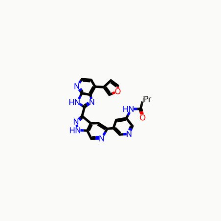 CC(C)C(=O)Nc1cncc(-c2cc3c(-c4nc5c(-c6ccoc6)ccnc5[nH]4)n[nH]c3cn2)c1